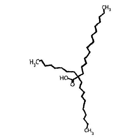 CCCCCCCCCCCCCCC(CCCCCCCC)(CCCCCCCCCC)C(=O)O